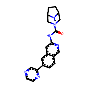 CN1C2CCC1CN(C(=O)Nc1cc3cc(-c4cnccn4)ccc3cn1)C2